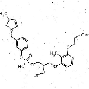 CCCCCCCCCCCCOc1cccc(OCC(COP(=O)(O)Oc2cccc(CN3[CH]N(C)C=C3)c2)OCC)c1C